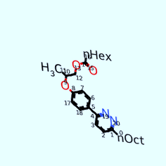 CCCCCCCCc1ccc(-c2ccc(OC(C)COC(=O)CCCCCC)cc2)nn1